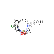 O=C(O)CCCN1CCCCCc2ccccc2-c2nc(ccc2Cl)NS(=O)(=O)c2cccc1n2